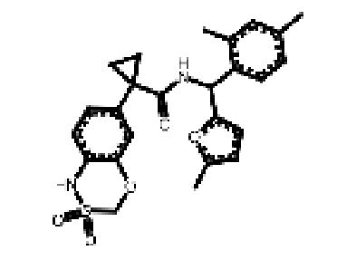 Cc1ccc(C(NC(=O)C2(c3ccc4c(c3)OCS(=O)(=O)N4)CC2)c2ccc(C)o2)c(C)c1